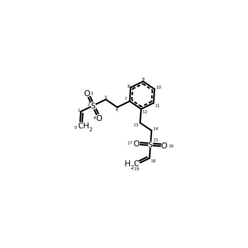 C=CS(=O)(=O)CCc1ccccc1CCS(=O)(=O)C=C